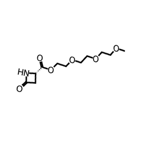 COCCOCCOCCOC(=O)[C@@H]1CC(=O)N1